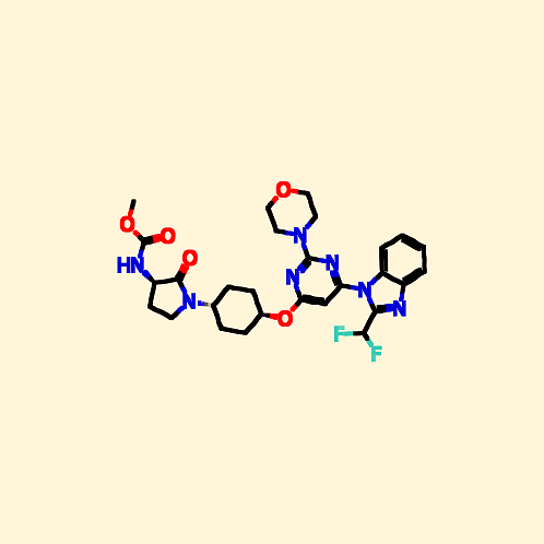 COC(=O)N[C@@H]1CCN([C@H]2CC[C@H](Oc3cc(-n4c(C(F)F)nc5ccccc54)nc(N4CCOCC4)n3)CC2)C1=O